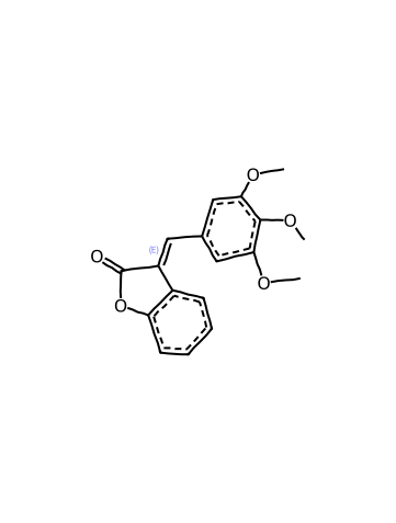 COc1cc(/C=C2/C(=O)Oc3ccccc32)cc(OC)c1OC